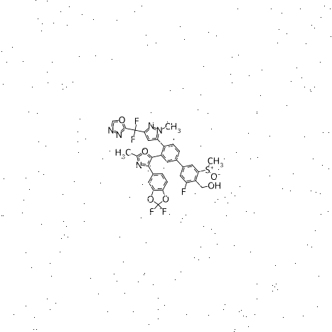 Cc1nc(-c2ccc3c(c2)OC(F)(F)O3)c(-c2cc(-c3cc(F)c(CO)c([S+](C)[O-])c3)ccc2-c2cc(C(F)(F)c3nnco3)nn2C)o1